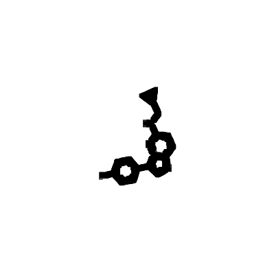 Fc1ccc(-c2cnc3ccc(NCC4CC4)nn23)cc1